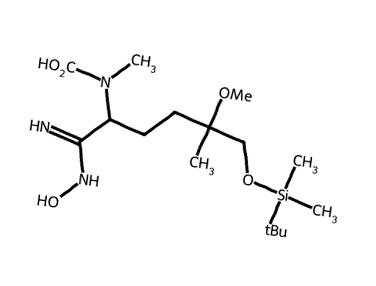 COC(C)(CCC(C(=N)NO)N(C)C(=O)O)CO[Si](C)(C)C(C)(C)C